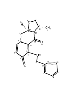 C[C@H]1CO[C@@H]2Cn3ccc(=O)c(OCc4ccccc4)c3C(=O)N12